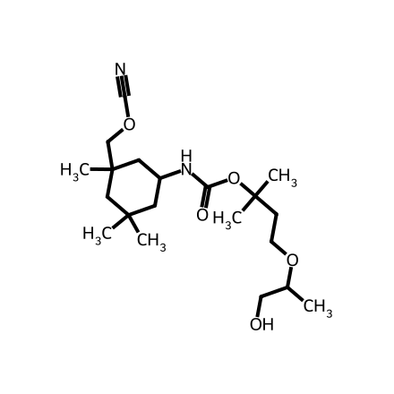 CC(CO)OCCC(C)(C)OC(=O)NC1CC(C)(C)CC(C)(COC#N)C1